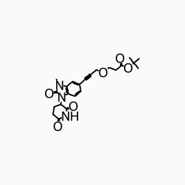 Cn1c(=O)n(C2CCC(=O)NC2=O)c2ccc(C#CCOCCC(=O)OC(C)(C)C)cc21